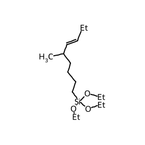 CCC=CC(C)CCCC[Si](OCC)(OCC)OCC